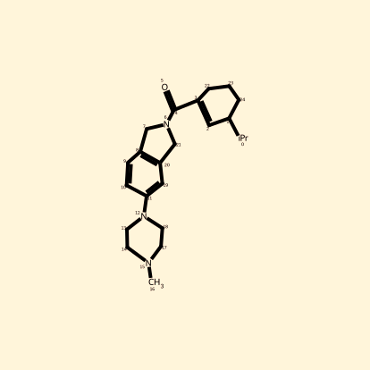 CC(C)C1C=C(C(=O)N2Cc3ccc(N4CCN(C)CC4)cc3C2)CCC1